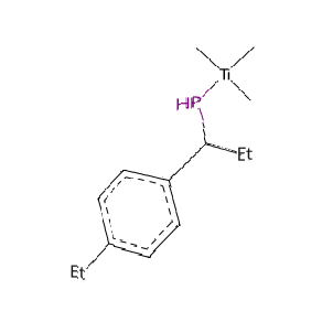 CCc1ccc(C(CC)[PH][Ti]([CH3])([CH3])[CH3])cc1